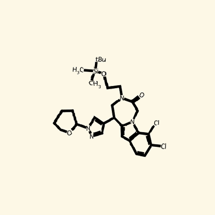 CC(C)(C)[Si](C)(C)OCCN1CC(c2cnn(C3CCCCO3)c2)c2cc3ccc(Cl)c(Cl)c3n2CC1=O